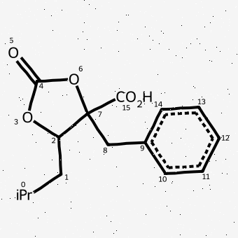 CC(C)CC1OC(=O)OC1(Cc1ccccc1)C(=O)O